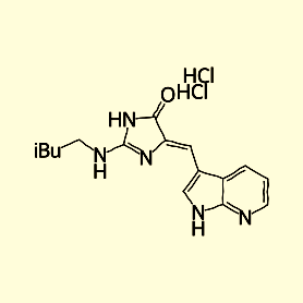 CCC(C)CNC1=N/C(=C\c2c[nH]c3ncccc23)C(=O)N1.Cl.Cl